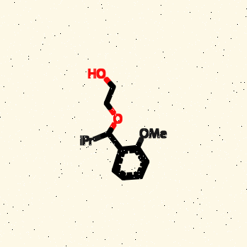 COc1ccccc1C(OCCO)C(C)C